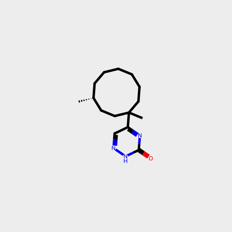 C[C@@H]1CCCCCCC(C)(c2cn[nH]c(=O)n2)CC1